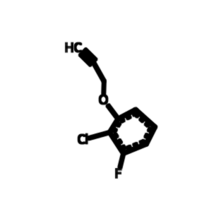 C#CCOc1cccc(F)c1Cl